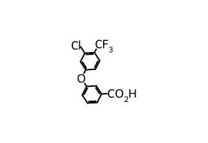 O=C(O)c1cccc(Oc2ccc(C(F)(F)F)c(Cl)c2)c1